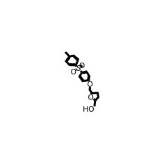 Cc1ccc(S(=O)(=O)c2ccc(OCC3CCC(CO)O3)cc2)cc1